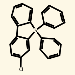 Clc1ccc2c(c1)S(c1ccccc1)(c1ccccc1)c1ccccc1-2